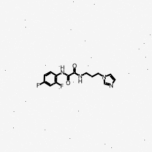 O=C(NCCCn1ccnc1)C(=O)Nc1ccc(F)cc1F